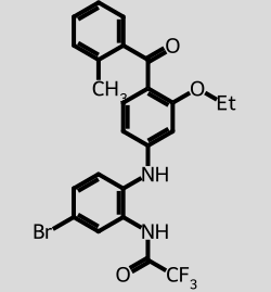 CCOc1cc(Nc2ccc(Br)cc2NC(=O)C(F)(F)F)ccc1C(=O)c1ccccc1C